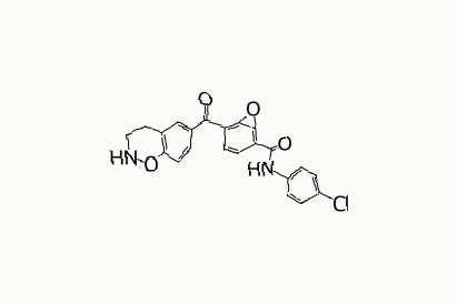 O=C(Nc1ccc(Cl)cc1)c1ccc(C(=O)c2ccc3c(c2)CCNO3)c2c1O2